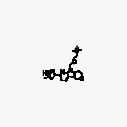 Cc1cc(-c2ccc3c4cnccc4n(COCC[Si](C)(C)C)c3n2)n[nH]1